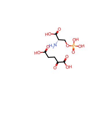 N[C@@H](COP(=O)(O)O)C(=O)O.O=C(O)CCC(=O)C(=O)O